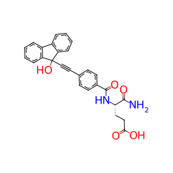 NC(=O)[C@H](CCC(=O)O)NC(=O)c1ccc(C#CC2(O)c3ccccc3-c3ccccc32)cc1